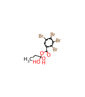 CCC(O)(O)OC(=O)c1cc(Br)c(Br)c(Br)c1Br